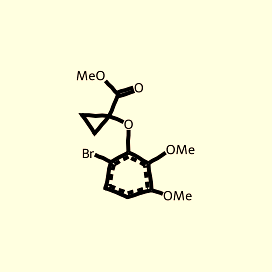 COC(=O)C1(Oc2c(Br)ccc(OC)c2OC)CC1